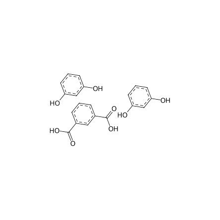 O=C(O)c1cccc(C(=O)O)c1.Oc1cccc(O)c1.Oc1cccc(O)c1